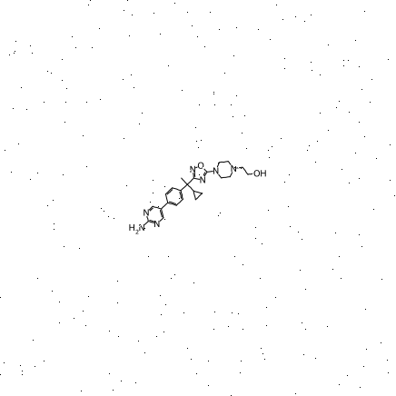 CC(c1ccc(-c2cnc(N)nc2)cc1)(c1noc(N2CCN(CCO)CC2)n1)C1CC1